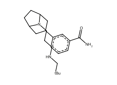 CC(C)(C)CNCCCN1C2CCC1CC(c1cccc(C(N)=O)c1)C2